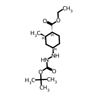 CCOC(=O)[C@@H]1CC[C@@H](NNC(=O)OC(C)(C)C)C[C@H]1C